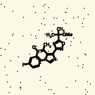 COC(C)(C)c1nc(-c2ncn3c2c(C)[n+]([O-])c2cc(F)ccc23)no1